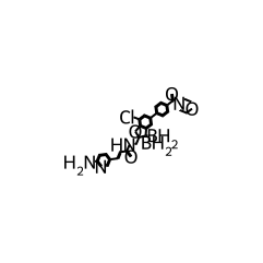 BC1(B)c2cc(-c3ccc(C(=O)N4CCOCC4)cc3)cc(Cl)c2OC1CNC(=O)/C=C/c1ccc(N)nc1